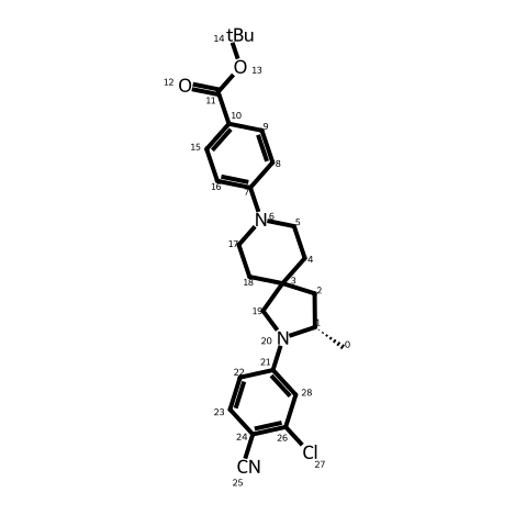 C[C@H]1CC2(CCN(c3ccc(C(=O)OC(C)(C)C)cc3)CC2)CN1c1ccc(C#N)c(Cl)c1